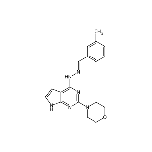 Cc1cccc(/C=N/Nc2nc(N3CCOCC3)nc3[nH]ccc23)c1